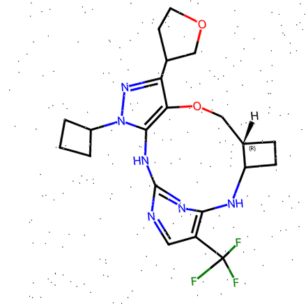 FC(F)(F)c1cnc2nc1NC1CC[C@H]1COc1c(C3CCOC3)nn(C3CCC3)c1N2